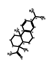 CC(=O)C1(C)CCCC2(C)c3ccc(C(C)C)cc3CCC12